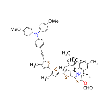 COc1ccc(N(c2ccc(C#Cc3sc(-c4sc(-c5cc6c(s5)-c5sc(OC=O)c[n+]5[B-]6(c5c(C)cc(C)cc5C)c5c(C)cc(C)cc5C)cc4C)cc3C)cc2)c2ccc(OC)cc2)cc1